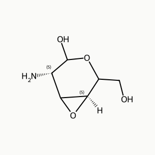 N[C@@H]1C(O)OC(CO)[C@H]2OC12